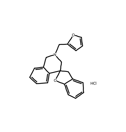 Cl.c1coc(CN2Cc3ccccc3C3(Cc4ccccc4O3)C2)c1